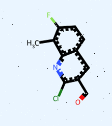 Cc1c(F)ccc2cc(C=O)c(Cl)nc12